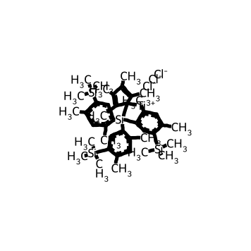 CC1=C(C)[C]([Ti+3])([Si](c2cc([Si](C)(C)C)c(C)cc2C)(c2cc([Si](C)(C)C)c(C)cc2C)c2cc([Si](C)(C)C)c(C)cc2C)C(C)=C1C.[Cl-].[Cl-].[Cl-]